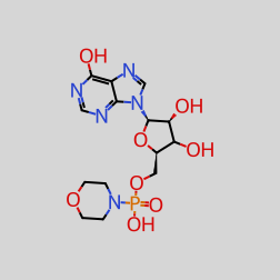 O=P(O)(OC[C@H]1O[C@@H](n2cnc3c(O)ncnc32)[C@@H](O)C1O)N1CCOCC1